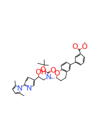 COC(=O)c1cccc(-c2ccc3c(c2)CC[C@H](CN(C[C@H](O)c2ccc(-n4c(C)ccc4C)nc2)C(=O)OC(C)(C)C)O3)c1